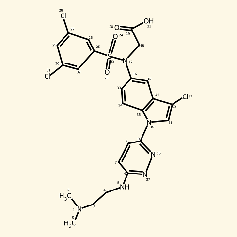 CN(C)CCNc1ccc(-n2cc(Cl)c3cc(N(CC(=O)O)S(=O)(=O)c4cc(Cl)cc(Cl)c4)ccc32)nn1